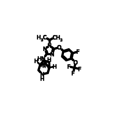 CC(C)n1nc(N[C@H]2[C@@H]3CC[C@H]2CNC3)nc1Oc1ccc(OC(F)(F)F)c(F)c1